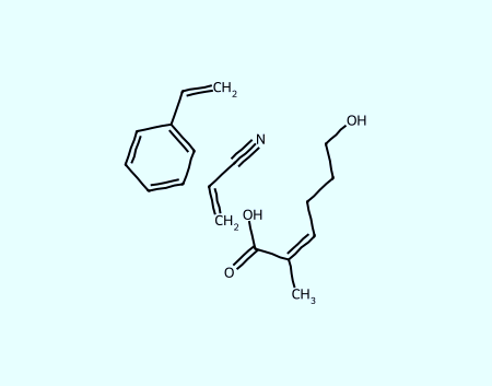 C=CC#N.C=Cc1ccccc1.CC(=CCCCO)C(=O)O